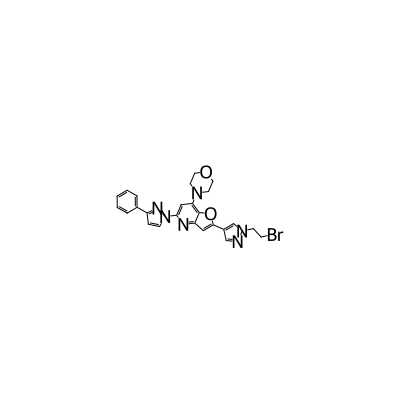 BrCCn1cc(-c2cc3nc(-n4ccc(-c5ccccc5)n4)cc(N4CCOCC4)c3o2)cn1